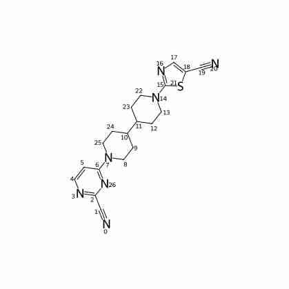 N#Cc1nccc(N2CCC(C3CCN(c4ncc(C#N)s4)CC3)CC2)n1